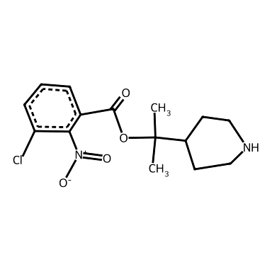 CC(C)(OC(=O)c1cccc(Cl)c1[N+](=O)[O-])C1CCNCC1